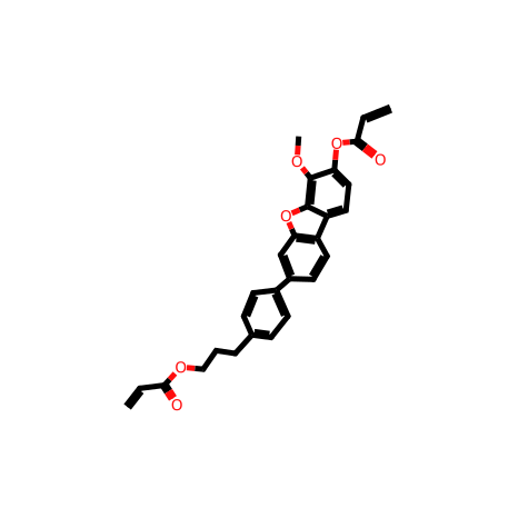 C=CC(=O)OCCCc1ccc(-c2ccc3c(c2)oc2c(OC)c(OC(=O)C=C)ccc23)cc1